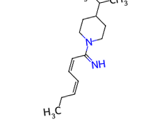 CC/C=C\C=C/C(=N)N1CCC(C(C)C)CC1